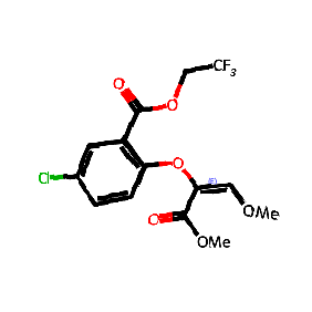 CO/C=C(/Oc1ccc(Cl)cc1C(=O)OCC(F)(F)F)C(=O)OC